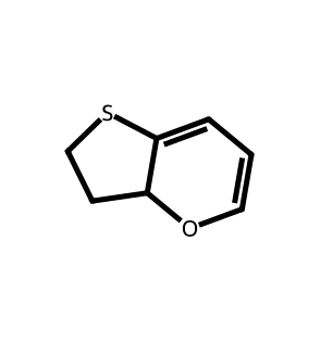 C1=COC2CCSC2=C1